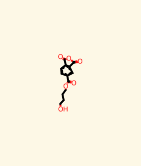 O=C(OCCCCO)c1ccc2c(c1)C(=O)OC2=O